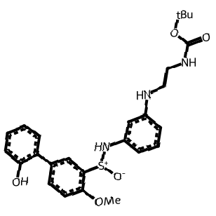 COc1ccc(-c2ccccc2O)cc1[S+]([O-])Nc1cccc(NCCNC(=O)OC(C)(C)C)c1